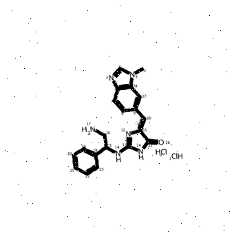 Cl.Cl.Cn1cnc2ccc(/C=C3\N=C(NC(CN)c4ccccc4)NC3=O)cc21